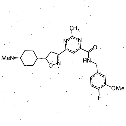 CN[C@H]1CC[C@H](C2CC(c3cc(C(=O)NCc4ccc(F)c(OC)c4)nc(C)n3)=NO2)CC1